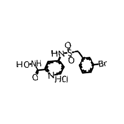 Cl.O=C(NO)c1cc(NS(=O)(=O)Cc2cccc(Br)c2)ccn1